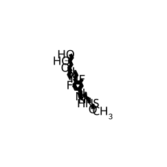 COC(=S)NCc1cn(-c2cc(F)c(N3CCN(C(=O)C[C@H](O)CO)CC3)c(F)c2)nn1